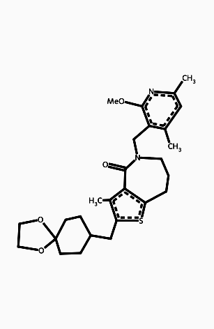 COc1nc(C)cc(C)c1CN1CCCc2sc(CC3CCC4(CC3)OCCO4)c(C)c2C1=O